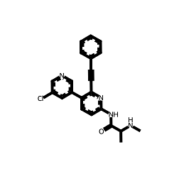 CNC(C)C(=O)Nc1ccc(-c2cncc(Cl)c2)c(C#Cc2ccccc2)n1